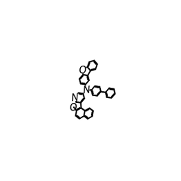 c1ccc(-c2ccc(N(c3ccc4oc5ccccc5c4c3)c3cnc4oc5ccc6ccccc6c5c4c3)cc2)cc1